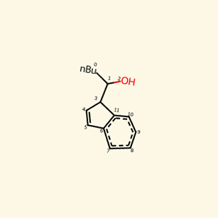 CCCCC(O)C1C=Cc2ccccc21